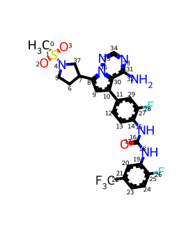 CS(=O)(=O)N1CCC(c2cc(-c3ccc(NC(=O)Nc4cc(C(F)(F)F)ccc4F)c(F)c3)c3c(N)ncnn23)C1